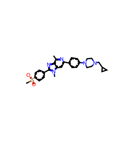 Cc1nc(-c2ccc(N3CCN(CC4CC4)CC3)cc2)cc2c1nc(-c1ccc(S(C)(=O)=O)cc1)n2C